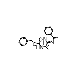 C=C(/N=C(\N)C(C)NC(=O)OCc1ccccc1)c1ccccc1